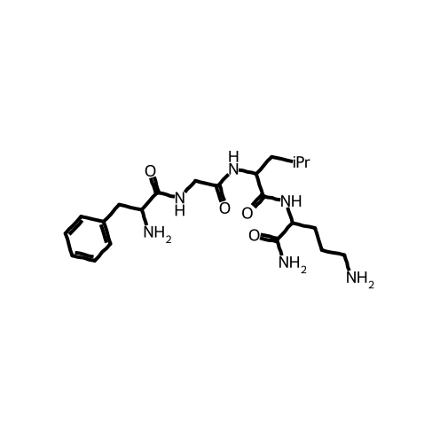 CC(C)CC(NC(=O)CNC(=O)C(N)Cc1ccccc1)C(=O)NC(CCCN)C(N)=O